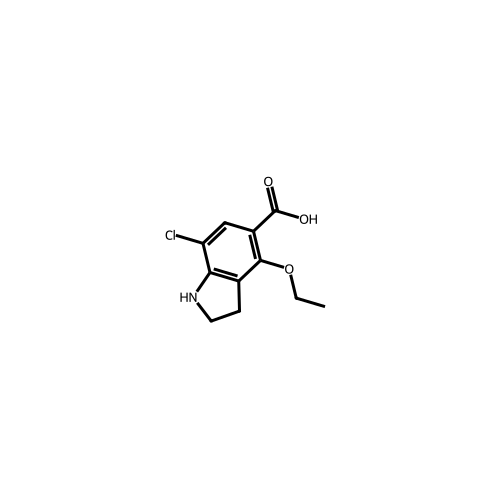 CCOc1c(C(=O)O)cc(Cl)c2c1CCN2